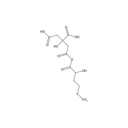 CSCCC(O)C(=O)OC(=O)CC(O)(CC(=O)O)C(=O)O